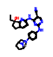 CCC1(O)CCc2ccc(Nc3nc(Nc4ccc(N5CC6CCC(C5)N6C)cc4)ncc3C#N)nc21